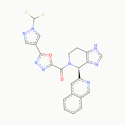 O=C(c1nnc(-c2cnn(C(F)F)c2)o1)N1CCc2[nH]cnc2[C@H]1c1cc2ccccc2cn1